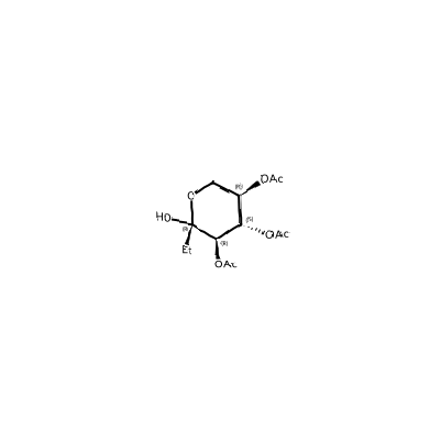 CC[C@@]1(O)OC[C@@H](OC(C)=O)[C@H](OC(C)=O)[C@H]1OC(C)=O